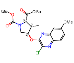 COc1ccc2nc(Cl)c(O[C@H]3CN(C(=O)OC(C)(C)C)[C@H](C(=O)OCC(C)C)[C@@H]3C)nc2c1